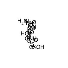 COc1nc(N=NN)nc2c1ncn2[C@@H]1O[C@H](COP(=O)(NCc2ccccc2)OCCSC(=O)C(C)(C)CO)[C@@H](O)[C@@]1(C)O